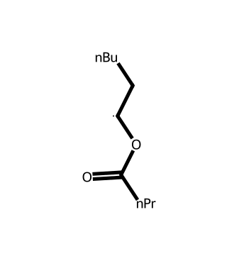 CCCCC[CH]OC(=O)CCC